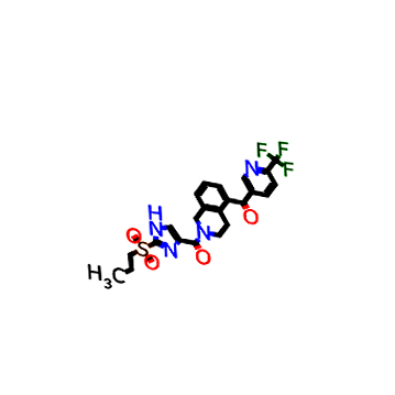 CCCS(=O)(=O)c1nc(C(=O)N2CCc3c(cccc3C(=O)c3ccc(C(F)(F)F)nc3)C2)c[nH]1